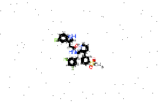 CS(=O)(=O)c1cccc(-c2cccnc2[C@H](Cc2cc(F)cc(F)c2)NC(=O)Cc2c[nH]c3ccc(F)cc23)c1